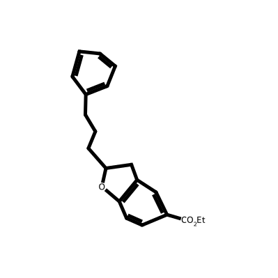 CCOC(=O)c1ccc2c(c1)CC(CCCc1ccccc1)O2